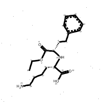 CCOC(=O)[C@H](CCc1ccccc1)N[C@@H](CCCCN)C(=O)O